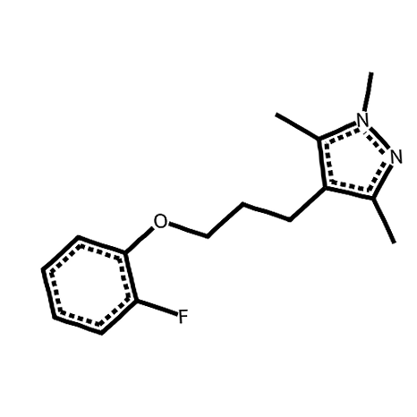 Cc1nn(C)c(C)c1CCCOc1ccccc1F